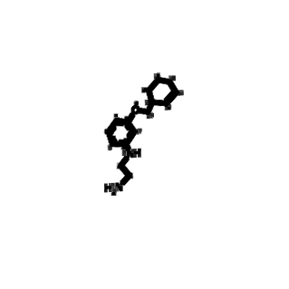 NCCNc1cccc(OCC2C=CCCC2)c1